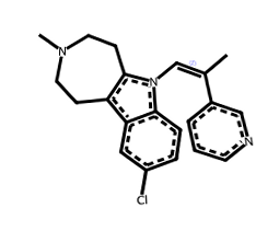 C/C(=C/n1c2c(c3cc(Cl)ccc31)CCN(C)CC2)c1cccnc1